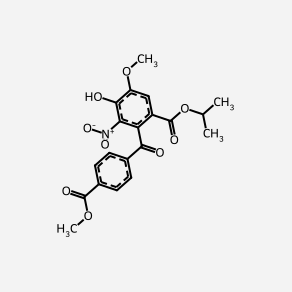 COC(=O)c1ccc(C(=O)c2c(C(=O)OC(C)C)cc(OC)c(O)c2[N+](=O)[O-])cc1